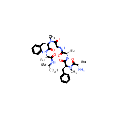 CC[C@H](C)[C@H](N)C(=O)N(C)[C@@H](Cc1ccccc1)C(=O)N[C@H](C(=O)NCC(=O)N(C)[C@@H](Cc1ccccc1)C(=O)N[C@H](C(=O)N[C@H](C(=O)O)[C@@H](C)CC)[C@@H](C)CC)[C@@H](C)CC